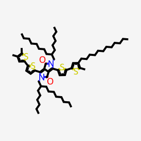 CCCCCCCCCCCCc1cc(-c2ccc(C3=C4C(=O)N(CC(CCCCCC)CCCCCCCC)C(c5ccc(-c6cc(C)c(C)s6)s5)=C4C(=O)N3CC(CCCCCC)CCCCCCCC)s2)sc1C